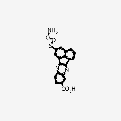 NOOSc1cc2c3c(cccc3c1)-c1nc3cc(C(=O)O)ccc3nc1-2